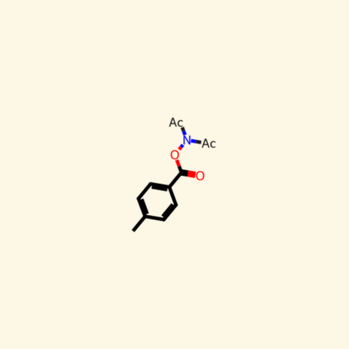 CC(=O)N(OC(=O)c1ccc(C)cc1)C(C)=O